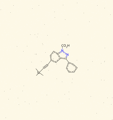 C[Si](C)(C)C#Cc1ccc2c(c1)c(-c1ccccc1)nn2C(=O)O